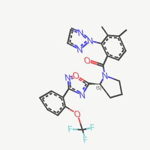 Cc1ccc(C(=O)N2CCC[C@H]2c2nc(-c3ccccc3OC(F)(F)F)no2)c(-n2nccn2)c1C